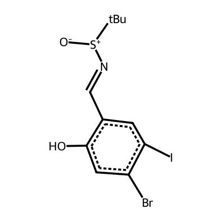 CC(C)(C)[S+]([O-])N=Cc1cc(I)c(Br)cc1O